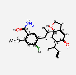 C=CC(C)[C@H]1C[C@]2(C(C)Cc3cc(C(N)=O)c(OC)cc3F)OCCC2=CC1=O